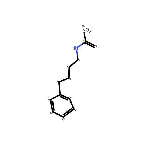 C=C(NCCCCc1ccccc1)[N+](=O)[O-]